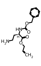 C=CCOC(=O)[C@@H](CCN)NC(=O)OCc1ccccc1